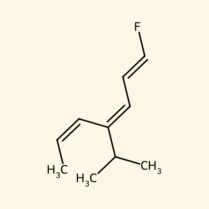 C\C=C/C(=C\C=C\F)C(C)C